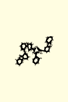 c1ccc(-c2nc(-c3ccc4oc5ccccc5c4c3)nc(-c3ccc4sc5cccc(-c6cccc7c6sc6ccccc67)c5c4c3)n2)cc1